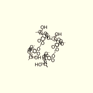 C=C1C[C@@H](CO)N(C(=O)c2cc(OC)c(OCCCOc3cc([N+](=O)[O-])c(C(=O)N4CC(=C)C[C@H]4CO)cc3OC)cc2[N+](=O)[O-])C1.COc1cc(C(=O)N2C=C(C)C[C@H]2CO)c([N+](=O)[O-])cc1OCCCOc1cc([N+](=O)[O-])c(C(=O)N2C=C(C)C[C@H]2CO)cc1OC